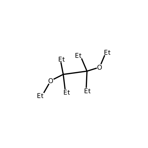 CCOC(CC)(CC)C(CC)(CC)OCC